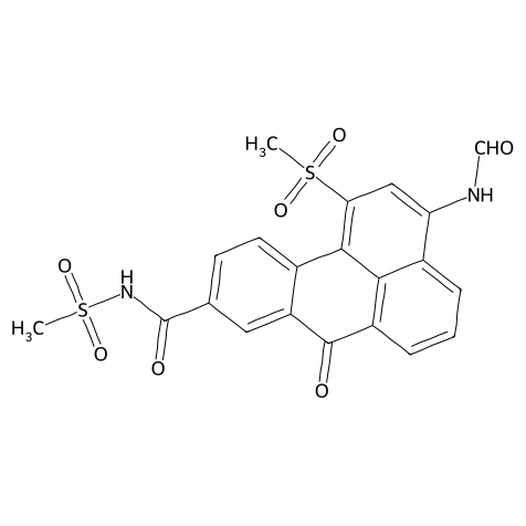 CS(=O)(=O)NC(=O)c1ccc2c(c1)C(=O)c1cccc3c(NC=O)cc(S(C)(=O)=O)c-2c13